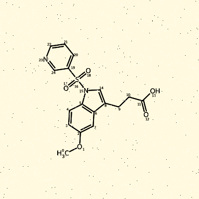 COc1ccc2c(c1)c(CCC(=O)O)cn2S(=O)(=O)c1cccnc1